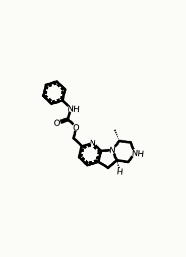 C[C@@H]1CNC[C@H]2Cc3ccc(COC(=O)Nc4ccccc4)nc3N21